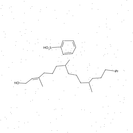 C/C(=C\CO)CCCC(C)CCCC(C)CCCC(C)C.O=S(=O)(O)c1ccccc1